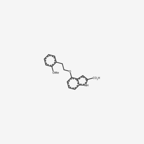 COc1ccccc1CCOc1cccc2[nH]c(C(=O)O)cc12